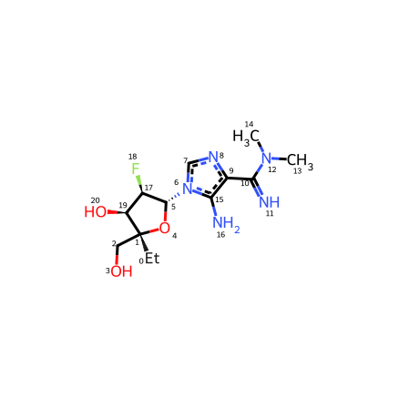 CC[C@]1(CO)O[C@@H](n2cnc(C(=N)N(C)C)c2N)[C@H](F)[C@@H]1O